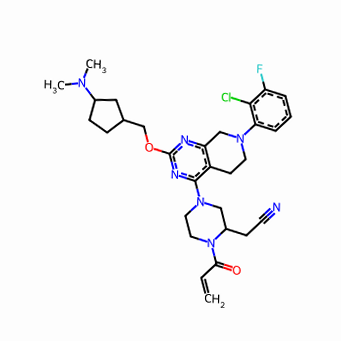 C=CC(=O)N1CCN(c2nc(OCC3CCC(N(C)C)C3)nc3c2CCN(c2cccc(F)c2Cl)C3)CC1CC#N